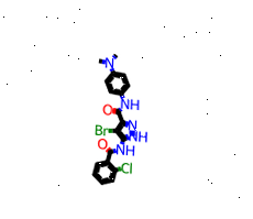 CN(C)c1ccc(NC(=O)c2n[nH]c(NC(=O)c3ccccc3Cl)c2Br)cc1